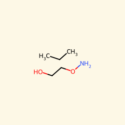 CCC.NOCCO